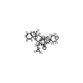 CN(C)C1(c2ccccc2)CCC2(CC1)CN(CC1(O)CCOCC1)C(=O)N2CC1CC1